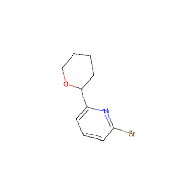 Brc1cccc(C2CCCCO2)n1